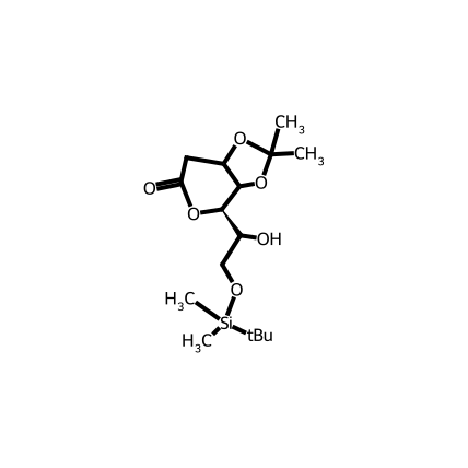 CC1(C)OC2CC(=O)O[C@H](C(O)CO[Si](C)(C)C(C)(C)C)C2O1